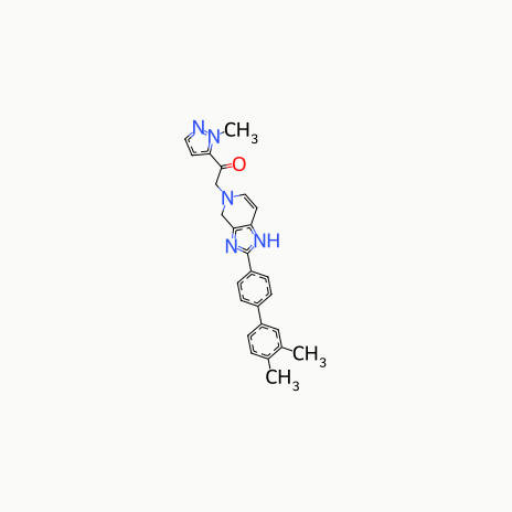 Cc1ccc(-c2ccc(-c3nc4c([nH]3)C=CN(CC(=O)c3ccnn3C)C4)cc2)cc1C